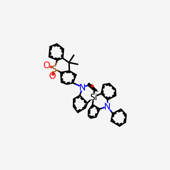 CC1(C)c2ccccc2S(=O)(=O)c2ccc(N3c4ccccc4[Si]4(c5ccccc5N(c5ccccc5)c5ccccc54)c4ccccc43)cc21